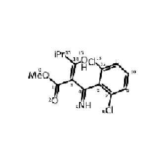 COC(=O)/C(C(=N)c1c(Cl)cccc1Cl)=C(/O)C(C)C